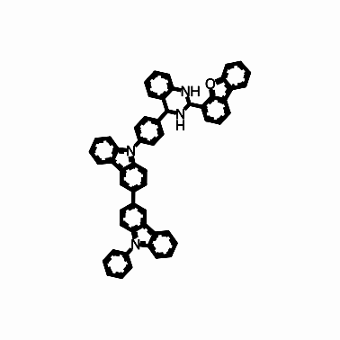 c1ccc(-n2c3ccccc3c3cc(-c4ccc5c(c4)c4ccccc4n5-c4ccc(C5NC(c6cccc7c6oc6ccccc67)Nc6ccccc65)cc4)ccc32)cc1